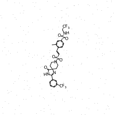 Cc1cc(S(=O)(=O)NCC(F)(F)F)ccc1C=CS(=O)(=O)N1CCC2(CC1)N=C(c1cccc(C(F)(F)F)c1)NC2=O